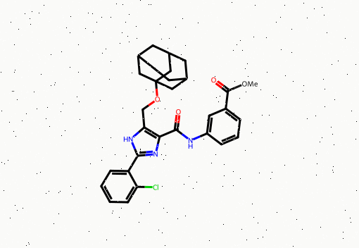 COC(=O)c1cccc(NC(=O)c2nc(-c3ccccc3Cl)[nH]c2COC23CC4CC(CC(C4)C2)C3)c1